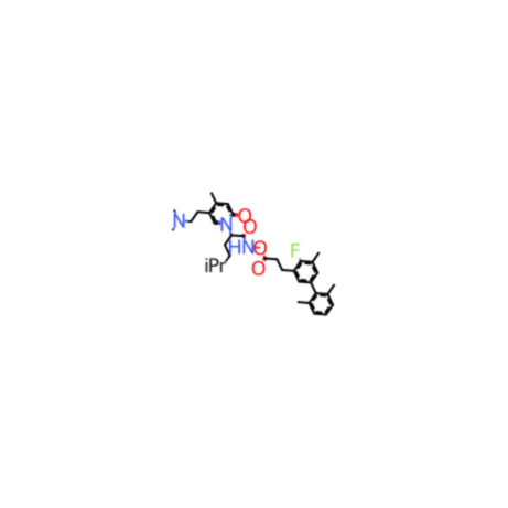 Cc1cc(=O)n(C(CCC(C)C)C(=O)NOC(=O)CCc2cc(-c3c(C)cccc3C)cc(C)c2F)cc1CCN(C)C